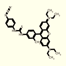 CCN(CC)c1ccc2c(-c3ccc(NC(=S)Nc4ccc(N=[N+]=[N-])cc4)cc3C)c3ccc(=[N+](CC)CC)cc-3oc2c1